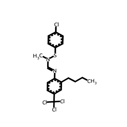 CCCCc1cc(C(Cl)(Cl)Cl)ccc1N=CN(C)Sc1ccc(Cl)cc1